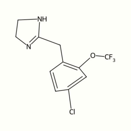 FC(F)(F)Oc1cc(Cl)ccc1CC1=NCCN1